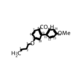 C=CCCOc1ccc(C(=O)O)c(-c2ccc(OC)cc2)c1